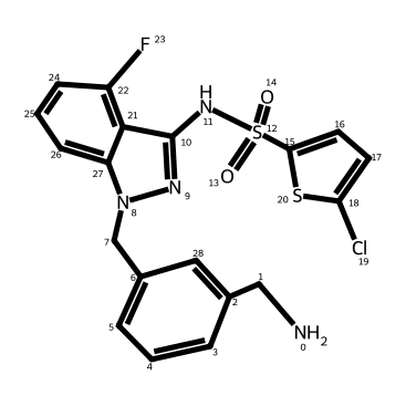 NCc1cccc(Cn2nc(NS(=O)(=O)c3ccc(Cl)s3)c3c(F)cccc32)c1